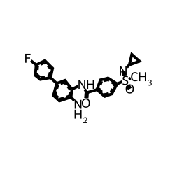 CS(=O)(=NC1CC1)c1ccc(C(=O)Nc2cc(-c3ccc(F)cc3)ccc2N)cc1